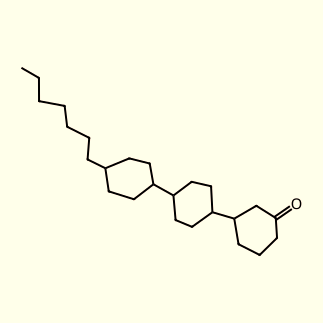 CCCCCCCC1CCC(C2CCC(C3CCCC(=O)C3)CC2)CC1